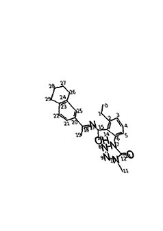 CCc1cccc(-n2nnn(C)c2=O)c1C(O)N=C(C)c1ccc2c(c1)CCCC2